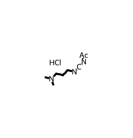 CC(=O)N=C=NCCCN(C)C.Cl